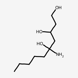 CCCCCC(N)(O)CC(O)CCO